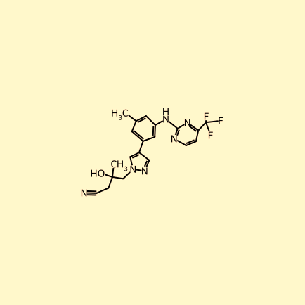 Cc1cc(Nc2nccc(C(F)(F)F)n2)cc(-c2cnn(CC(C)(O)CC#N)c2)c1